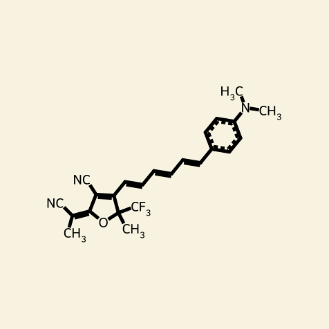 C/C(C#N)=C1\OC(C)(C(F)(F)F)C(/C=C/C=C/C=C/c2ccc(N(C)C)cc2)=C1C#N